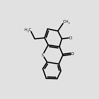 CCC1=CC(C)C(Cl)c2c1sc1ccccc1c2=O